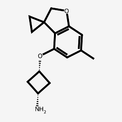 Cc1cc2c(c(O[C@H]3C[C@@H](N)C3)c1)C1(CC1)CO2